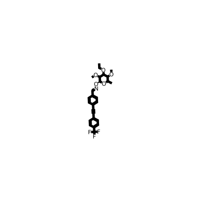 CCOC1C(OC)C(C)O[C@@H](ON=Cc2ccc(C#Cc3ccc(C(F)(F)F)cc3)cc2)C1OC